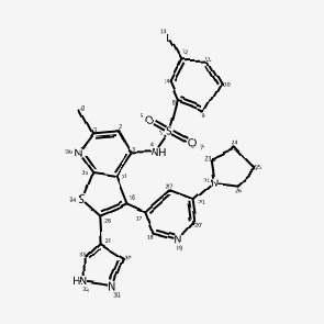 Cc1cc(NS(=O)(=O)c2cccc(I)c2)c2c(-c3cncc(N4CCCC4)c3)c(-c3cn[nH]c3)sc2n1